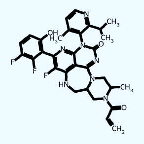 C=CC(=O)N1CC2CNc3c(F)c(-c4c(O)ccc(F)c4F)nc4c3c(nc(=O)n4-c3c(C)ccnc3C(C)C)N2CC1C